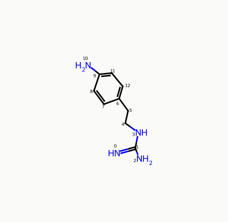 N=C(N)NCCc1ccc(N)cc1